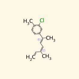 C=C/C(C)=C\C=C(/C)c1ccc(C)c(Cl)c1